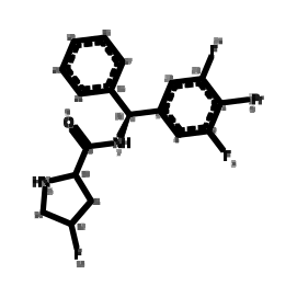 CC(C)c1c(F)cc([C@@H](NC(=O)C2CC(F)CN2)c2ccccc2)cc1F